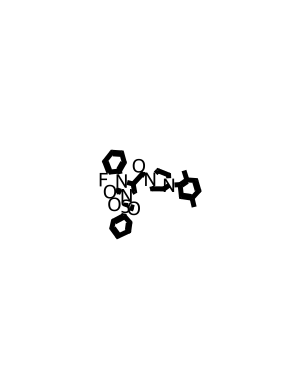 Cc1ccc(C)c(N2CCN(C(=O)C3CN(S(=O)(=O)c4ccccc4)C(=O)N3c3ccccc3F)CC2)c1